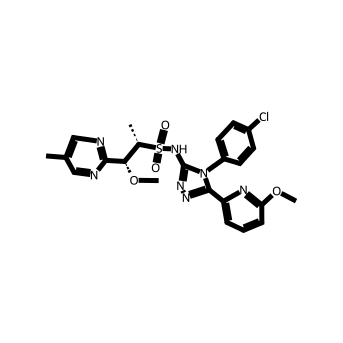 COc1cccc(-c2nnc(NS(=O)(=O)[C@@H](C)[C@H](OC)c3ncc(C)cn3)n2-c2ccc(Cl)cc2)n1